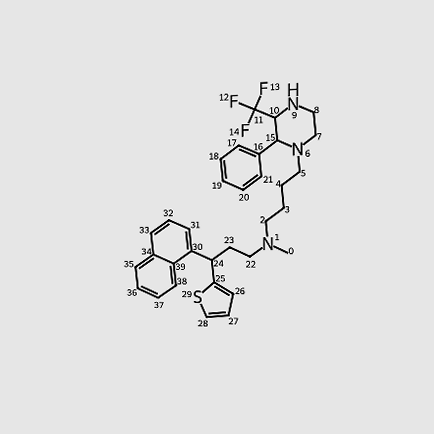 CN(CCCCN1CCNC(C(F)(F)F)C1c1ccccc1)CCC(c1cccs1)c1cccc2ccccc12